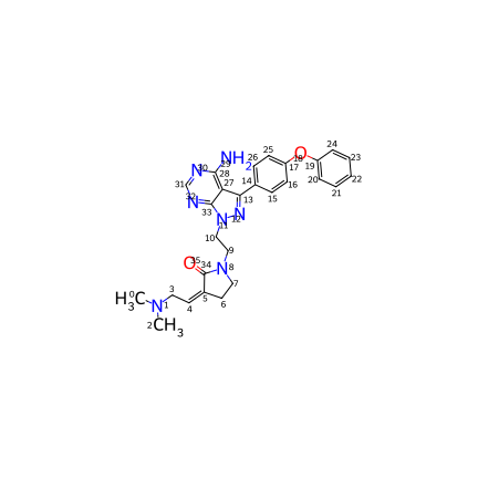 CN(C)C/C=C1/CCN(CCn2nc(-c3ccc(Oc4ccccc4)cc3)c3c(N)ncnc32)C1=O